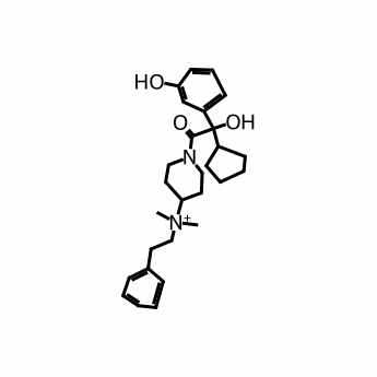 C[N+](C)(CCc1ccccc1)C1CCN(C(=O)C(O)(c2cccc(O)c2)C2CCCC2)CC1